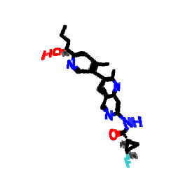 CCC[C@@H](O)c1cc(C)c(-c2cc3cnc(NC(=O)[C@@H]4C[C@@H]4F)cc3nc2C)cn1